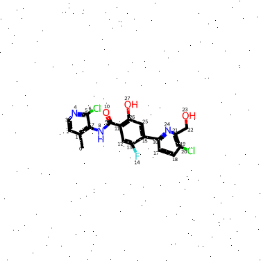 Cc1ccnc(Cl)c1NC(=O)c1cc(F)c(-c2ccc(Cl)c(CO)n2)cc1O